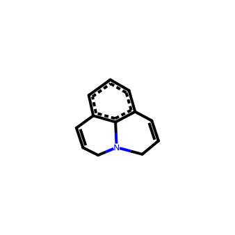 C1=Cc2cccc3c2N(C1)CC=C3